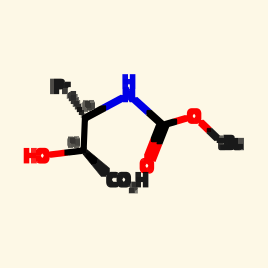 CC(C)[C@H](NC(=O)OC(C)(C)C)[C@H](O)C(=O)O